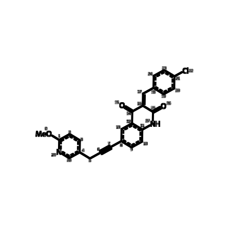 COc1ccc(CC#Cc2ccc3c(c2)C(=O)/C(=C/c2ccc(Cl)cc2)C(=O)N3)cn1